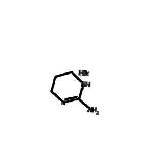 Br.NC1=NCCCN1